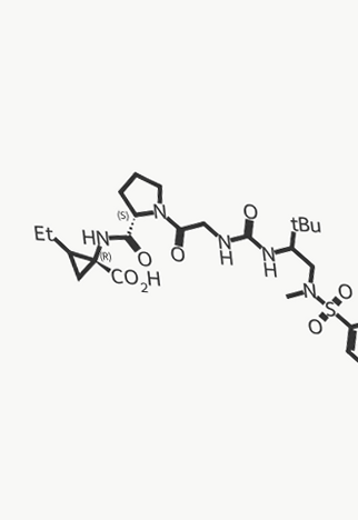 CCC1C[C@]1(NC(=O)[C@@H]1CCCN1C(=O)CNC(=O)NC(CN(C)S(=O)(=O)c1ccccn1)C(C)(C)C)C(=O)O